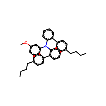 CCCCc1ccc(-c2ccccc2N(c2cccc(OC)c2)c2ccccc2-c2ccc(CCCC)cc2)cc1